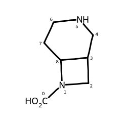 O=C(O)N1CC2CNCCC21